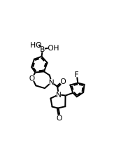 O=C1CCN(C(=O)N2CCOc3ccc(B(O)O)cc3C2)C(c2cccc(F)c2)C1